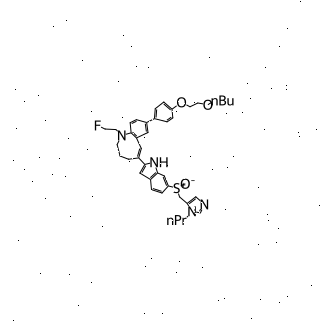 CCCCOCCOc1ccc(-c2ccc3c(c2)C=C(c2cc4ccc([S+]([O-])Cc5cncn5CCC)cc4[nH]2)CCCN3CCF)cc1